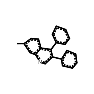 Cc1ccc2c(-c3ccccc3)c(-c3ccccc3)cnc2c1